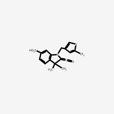 CC1(C)C(=C=O)N(Cc2csc(C(F)(F)F)c2)c2cc(C(=O)O)ccc21